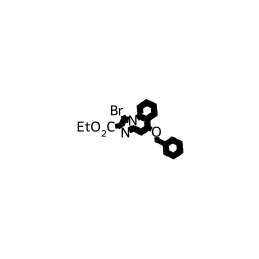 CCOC(=O)c1nc2cc(OCc3ccccc3)c3ccccc3n2c1Br